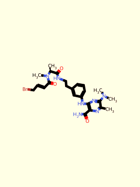 Cc1nc(C(N)=O)c(Nc2cccc(CCNC(=O)[C@H](C)N(C)C(=O)/C=C/CBr)c2)nc1N(C)C